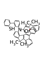 CC1(C)c2ccccc2-c2ccc(N(c3cccc(-c4ccccc4S)c3)c3cccc4c3-c3c(c5ccccc5c5c3oc3ccccc35)C4(C)C)cc21